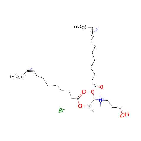 CCCCCCCC/C=C\CCCCCCCC(=O)OC(C)C(OC(=O)CCCCCCC/C=C\CCCCCCCC)[N+](C)(C)CCCO.[Br-]